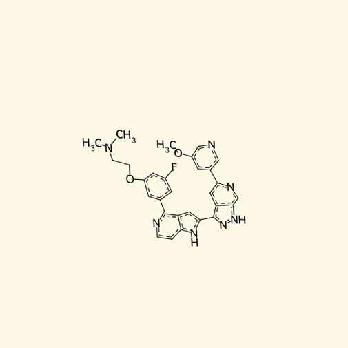 COc1cncc(-c2cc3c(-c4cc5c(-c6cc(F)cc(OCCN(C)C)c6)nccc5[nH]4)n[nH]c3cn2)c1